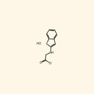 Cl.O=C(Cl)CNc1cc2ccccc2s1